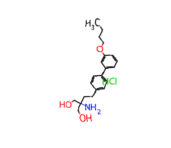 CCCCOc1cccc(-c2ccc(CCC(N)(CO)CO)cc2)c1.Cl